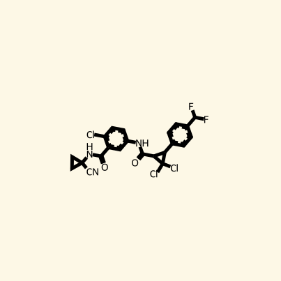 N#CC1(NC(=O)c2cc(NC(=O)C3C(c4ccc(C(F)F)cc4)C3(Cl)Cl)ccc2Cl)CC1